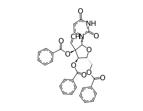 C=C[C@]1(OC(=O)c2ccccc2)C(n2ccc(=O)[nH]c2=O)O[C@H](COC(=O)c2ccccc2)[C@H]1OC(=O)c1ccccc1